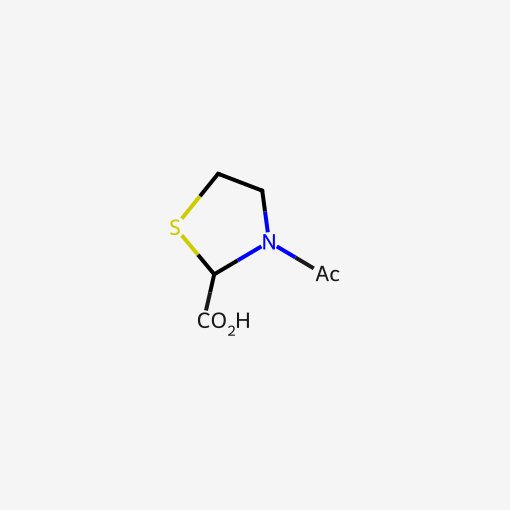 CC(=O)N1CCSC1C(=O)O